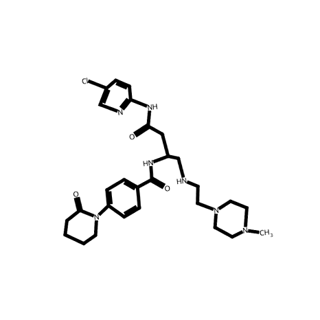 CN1CCN(CCNCC(CC(=O)Nc2ccc(Cl)cn2)NC(=O)c2ccc(N3CCCCC3=O)cc2)CC1